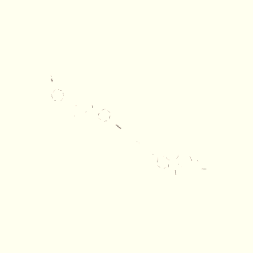 CC1(C)[C@H](Oc2ccc(C#N)c(F)c2)C(C)(C)[C@H]1N1Cc2cc(C#CC3CCN(C4CN(c5ccc6c(c5)C(=O)N(C5CCC(=O)NC5=O)C6=O)C4)CC3)ccc2C1=O